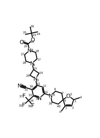 CC1=CC(C)OC12CCN(c1cc(N3CC(N4CCN(C(=O)OC(C)(C)C)CC4)C3)c(C#N)c(C(F)(F)F)n1)CC2